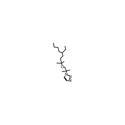 CCCCC(CC)CCC(C)(C)OCC(C)(C)n1ccnn1